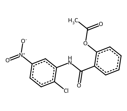 CC(=O)Oc1ccccc1C(=O)Nc1cc([N+](=O)[O-])ccc1Cl